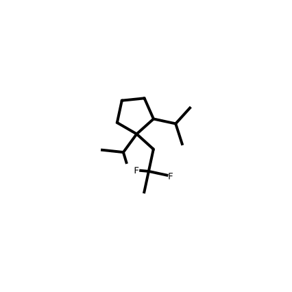 CC(C)C1CCCC1(CC(C)(F)F)C(C)C